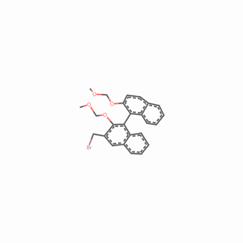 COCOc1ccc2ccccc2c1-c1c(OCOC)c(CBr)cc2ccccc12